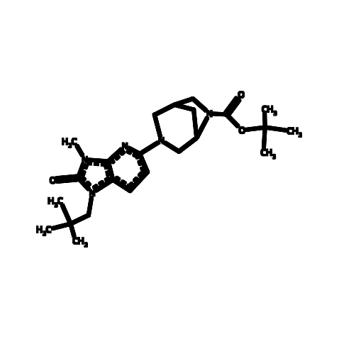 Cn1c(=O)n(CC(C)(C)C)c2ccc(N3CC4CC(C3)N(C(=O)OC(C)(C)C)C4)nc21